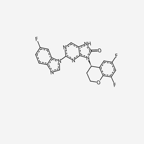 O=c1[nH]c2cnc(-n3cnc4ccc(F)cc43)nc2n1[C@@H]1CCOc2c(F)cc(F)cc21